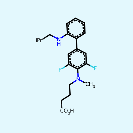 CC(C)CNc1ccccc1-c1cc(F)c(N(C)CCCC(=O)O)c(F)c1